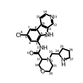 O=C(Nc1cc(Cl)cc2c1[nH]c1cnccc12)C1COCCN1CC1CCCN1